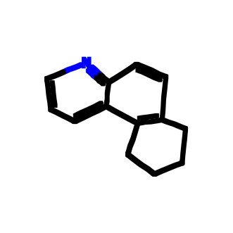 c1cnc2ccc3c(c2c1)CCCC3